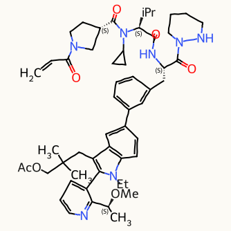 C=CC(=O)N1CC[C@H](C(=O)N(C2CC2)[C@H](C(=O)N[C@@H](Cc2cccc(-c3ccc4c(c3)c(CC(C)(C)COC(C)=O)c(-c3cccnc3[C@H](C)OC)n4CC)c2)C(=O)N2CCCCN2)C(C)C)C1